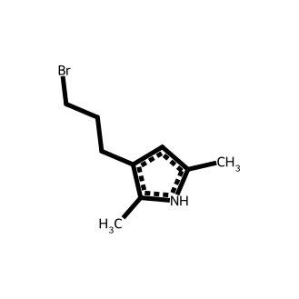 Cc1cc(CCCBr)c(C)[nH]1